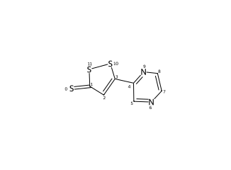 S=c1cc(-c2cnccn2)ss1